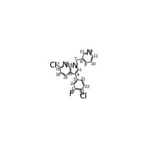 Fc1cc(-c2cn(Cc3cccnc3)c3nc(Cl)ccc23)ccc1Cl